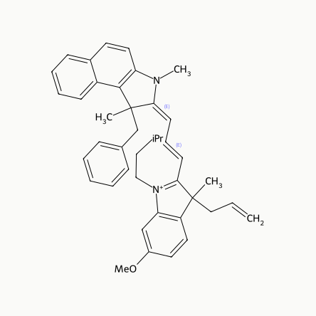 C=CCC1(C)C(/C=C/C=C2/N(C)c3ccc4ccccc4c3C2(C)Cc2ccccc2)=[N+](CCC(C)C)c2cc(OC)ccc21